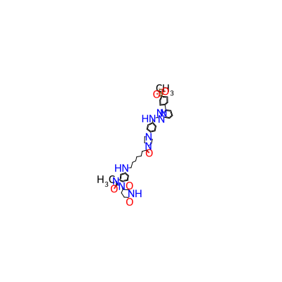 Cn1c(=O)n(C2CCC(=O)NC2=O)c2ccc(NCCCCCCC(=O)N3CCN(c4ccc(Nc5nc6cccc(-c7ccc(S(C)(=O)=O)cc7)n6n5)cc4)CC3)cc21